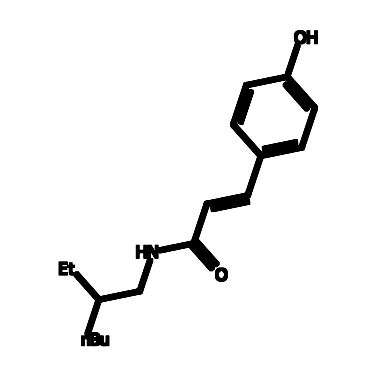 CCCCC(CC)CNC(=O)C=Cc1ccc(O)cc1